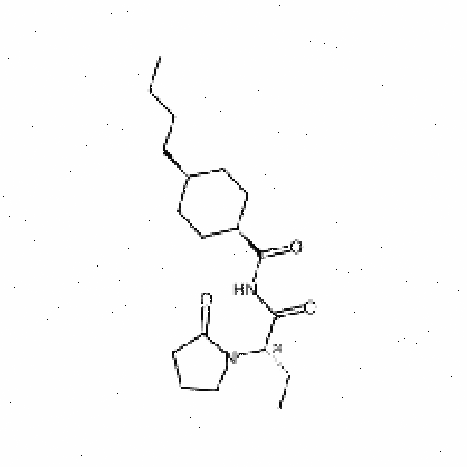 CCCC[C@H]1CC[C@@H](C(=O)NC(=O)[C@H](CC)N2CCCC2=O)CC1